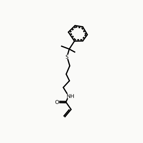 C=CC(=O)NCCCCSC(C)(C)c1ccccc1